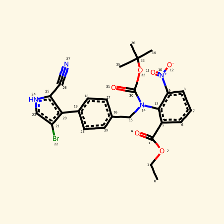 CCOC(=O)c1cccc([N+](=O)[O-])c1N(Cc1ccc(-c2c(Br)c[nH]c2C#N)cc1)C(=O)OC(C)(C)C